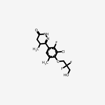 Cc1cc(C2=NNC(=O)CC2C)c(F)c(Cl)c1OCC(F)(F)CO